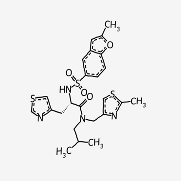 Cc1cc2cc(S(=O)(=O)N[C@@H](Cc3cscn3)C(=O)N(Cc3csc(C)n3)CC(C)C)ccc2o1